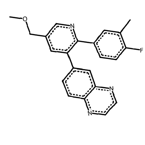 COCc1cnc(-c2ccc(F)c(C)c2)c(-c2ccc3nccnc3c2)c1